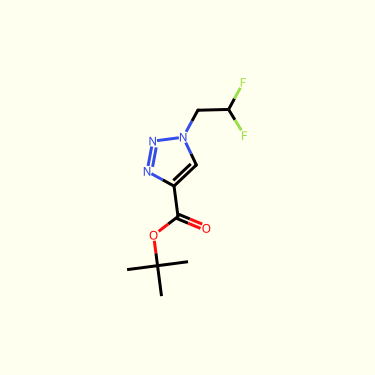 CC(C)(C)OC(=O)c1cn(CC(F)F)nn1